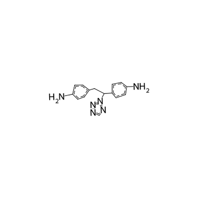 Nc1ccc(CC(c2ccc(N)cc2)n2ncnn2)cc1